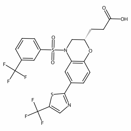 O=C(O)CC[C@H]1CN(S(=O)(=O)c2cccc(C(F)(F)F)c2)c2cc(-c3ncc(C(F)(F)F)s3)ccc2O1